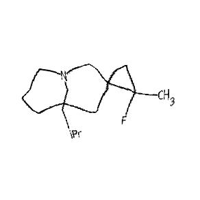 CC(C)C12CCCN1CC1(C2)CC1(C)F